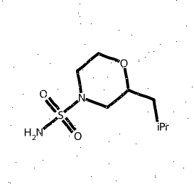 CC(C)CC1CN(S(N)(=O)=O)CCO1